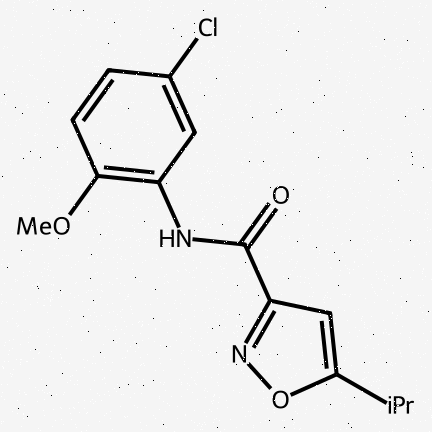 COc1ccc(Cl)cc1NC(=O)c1cc(C(C)C)on1